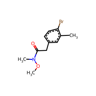 CON(C)C(=O)Cc1ccc(Br)c(C)c1